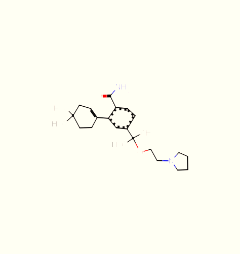 CC1(C)CC=C(c2cc(C(C)(C)OCCN3CCCC3)ccc2C(N)=O)CC1